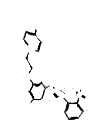 Cc1cc(OCC[n+]2ccc(N)cc2)cc(OS(=O)(=O)c2ccccc2S(C)(=O)=O)c1